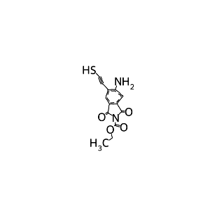 CCOC(=O)N1C(=O)c2cc(N)c(C#CS)cc2C1=O